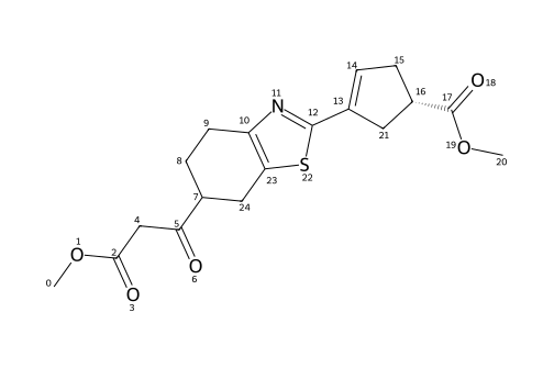 COC(=O)CC(=O)C1CCc2nc(C3=CC[C@H](C(=O)OC)C3)sc2C1